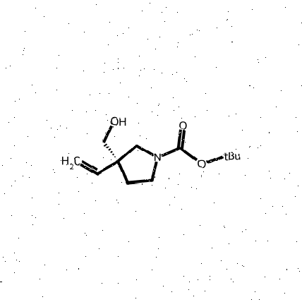 C=C[C@]1(CO)CCN(C(=O)OC(C)(C)C)C1